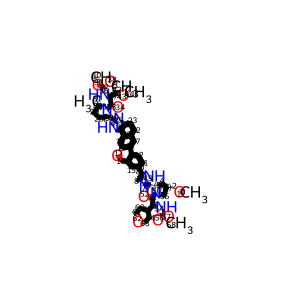 COC[C@H]1C[C@@H](c2ncc(-c3ccc4c(c3)COc3cc5c(ccc6nc([C@@H]7CC[C@H](C)N7C(=O)[C@@H](NC(=O)OC)[C@@H](C)OC)[nH]c65)cc3-4)[nH]2)N(C(=O)C(NC(=O)OC)C2CCOCC2)C1